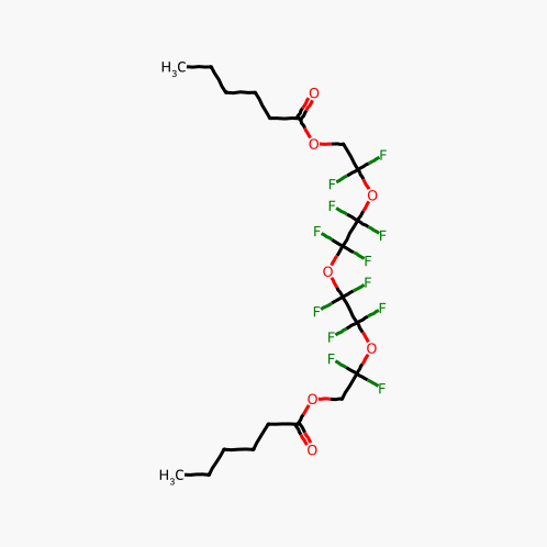 CCCCCC(=O)OCC(F)(F)OC(F)(F)C(F)(F)OC(F)(F)C(F)(F)OC(F)(F)COC(=O)CCCCC